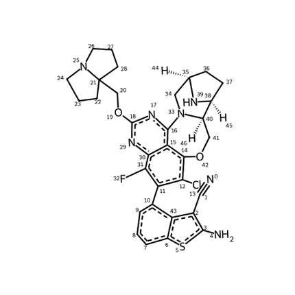 N#Cc1c(N)sc2cccc(-c3c(Cl)c4c5c(nc(OCC67CCCN6CCC7)nc5c3F)N3C[C@H]5CC[C@H](N5)[C@H]3CO4)c12